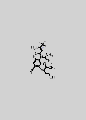 C=C(C)N(C(=O)/C=C(\C)C(F)(F)F)c1cc(SC(CCC)C(C)=O)c(C#N)cc1F